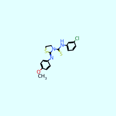 COc1ccc(N=C2SCCN2C(=S)Nc2cccc(Cl)c2)cc1